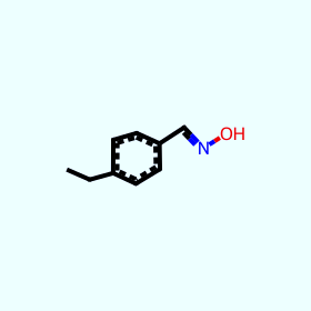 CCc1ccc(/C=N/O)cc1